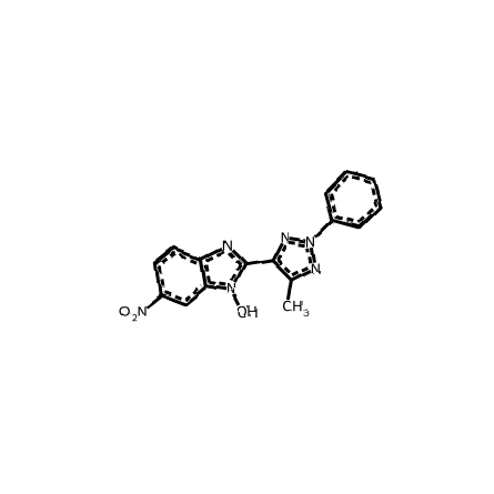 Cc1nn(-c2ccccc2)nc1-c1nc2ccc([N+](=O)[O-])cc2n1O